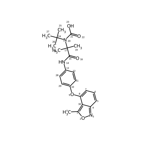 Cc1onc2cccc(Oc3ccc(NC(=O)C(C)(C)N(C(=O)O)C(C)(C)C)cc3)c12